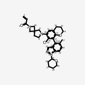 C=CC(=O)N1CC2(CCN(c3cc4c(c(-c5c(C)ccc6c5cnn6C5CCCCO5)c3Cl)OCCC4)C2)C1